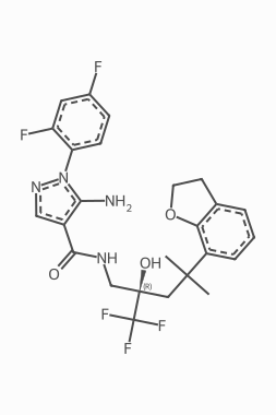 CC(C)(C[C@@](O)(CNC(=O)c1cnn(-c2ccc(F)cc2F)c1N)C(F)(F)F)c1cccc2c1OCC2